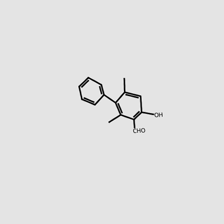 Cc1cc(O)c(C=O)c(C)c1-c1ccccc1